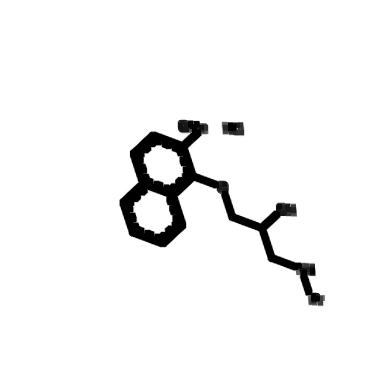 COc1ccc2ccccc2c1OCC(O)CNC(C)C.Cl